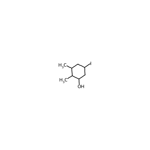 CC1CC(I)CC(O)C1C